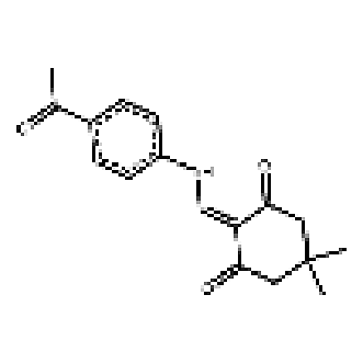 CC(=O)c1ccc(NC=C2C(=O)CC(C)(C)CC2=O)cc1